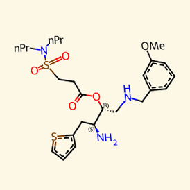 CCCN(CCC)S(=O)(=O)CCC(=O)O[C@H](CNCc1cccc(OC)c1)[C@@H](N)Cc1cccs1